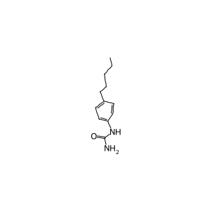 CCCCCc1ccc(NC(N)=O)cc1